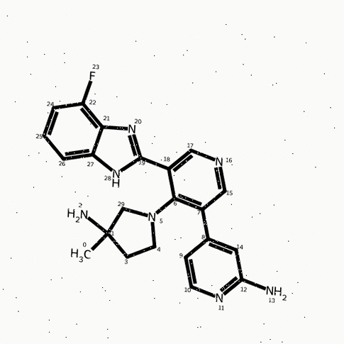 CC1(N)CCN(c2c(-c3ccnc(N)c3)cncc2-c2nc3c(F)cccc3[nH]2)C1